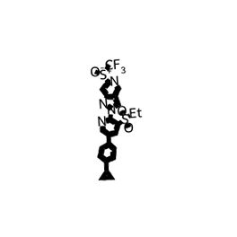 CCS(=O)(=O)c1cc(-c2ccc(C3CC3)cc2)cnc1-n1cc2cnc([S+]([O-])C(F)(F)F)cc2n1